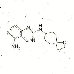 Nc1nccc2nc(NC3CCC4(CCO4)CC3)ncc12